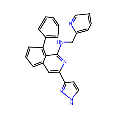 c1ccc(-c2cccc3cc(-c4cc[nH]n4)nc(NCc4ccccn4)c23)cc1